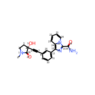 CN1CC[C@@](O)(C#Cc2cccc(-c3nc(C(N)=O)n4ccccc34)c2)C1=O